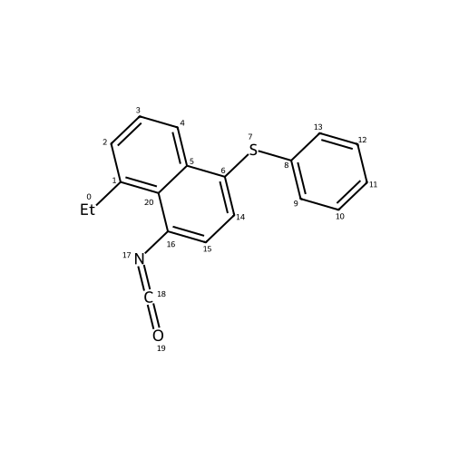 CCc1cccc2c(Sc3ccccc3)ccc(N=C=O)c12